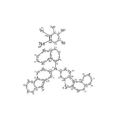 [2H]c1c([2H])c([2H])c(-c2ccc(N(c3ccc4c(c3)sc3ccccc34)c3ccc4c(c3)sc3ccc5ccccc5c34)c3ccccc23)c([2H])c1[2H]